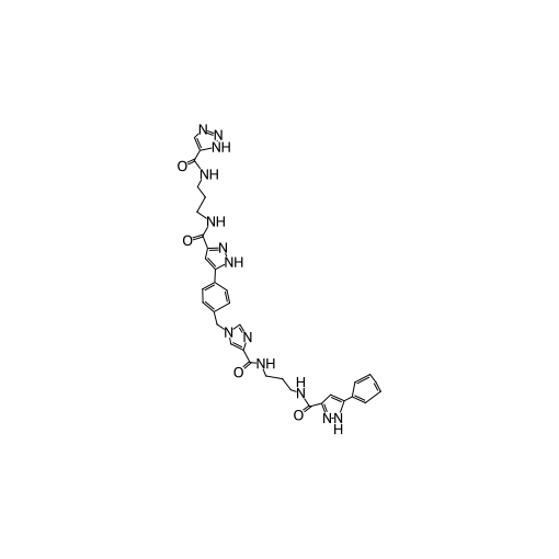 O=C(NCCCNC(=O)c1cc(-c2ccccc2)[nH]n1)c1cn(Cc2ccc(-c3cc(C(=O)NCCCNC(=O)c4cnn[nH]4)n[nH]3)cc2)cn1